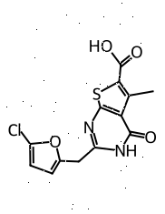 Cc1c(C(=O)O)sc2nc(Cc3ccc(Cl)o3)[nH]c(=O)c12